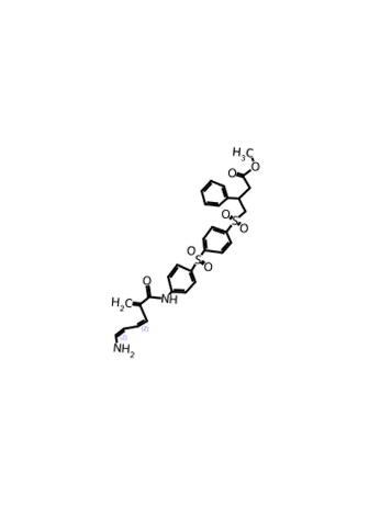 C=C(/C=C\C=C/N)C(=O)Nc1ccc(S(=O)(=O)c2ccc(S(=O)(=O)CC(CC(=O)OC)c3ccccc3)cc2)cc1